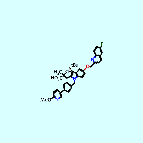 COc1ccc(-c2ccc(Cn3c(CC(C)(C)C(=O)O)c(SC(C)(C)C)c4cc(OCc5ccc6cc(F)ccc6n5)ccc43)cc2)cn1